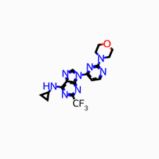 FC(F)(F)c1nc(NC2CC2)c2ncn(-c3ccnc(N4CCOCC4)n3)c2n1